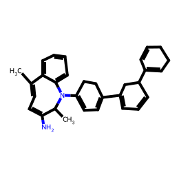 C/C1=C\C=C(\N)C(C)N(C2=CC=C(C3=CC=CC(C4=CCCC=C4)C3)CC2)c2ccccc21